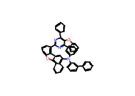 c1ccc(-c2cccc(N(c3ccccc3)c3cc4c(oc5cccc(-c6nc(-c7ccccc7)c7oc8ccccc8c7n6)c54)c4ccccc34)c2)cc1